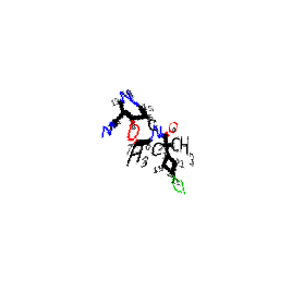 CC(C)(C(=O)N1CCOc2c(C#N)cncc2C1)C1CC(Cl)C1